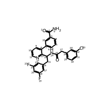 NC(=O)c1cccc(-c2cccnc2C(Cc2cc(F)cc(F)c2)NC(=O)Cc2cccc(Cl)c2)c1